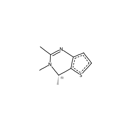 CC1=Nc2ccsc2[C@H](C)N1C